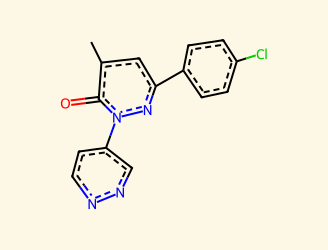 Cc1cc(-c2ccc(Cl)cc2)nn(-c2ccnnc2)c1=O